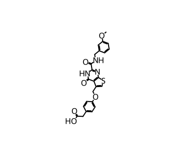 COc1cccc(CNC(=O)c2nc3scc(COc4ccc(CC(=O)O)cc4)c3c(=O)[nH]2)c1